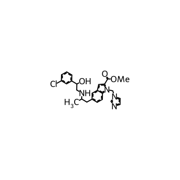 COC(=O)c1cc2cc(CC(C)NCC(O)c3cccc(Cl)c3)ccc2n1Cn1ccnc1